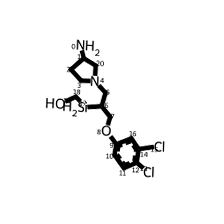 NC1CCN(CC(COc2ccc(Cl)c(Cl)c2)[SiH2]CO)C1